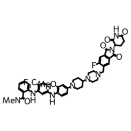 CNC(=O)c1ccccc1Nc1cc(Nc2ccc(N3CCC(N4CCN(Cc5cc6c(cc5F)C(=O)N(C5CCC(=O)NC5=O)C6=O)CC4)CC3)cc2OC)ncc1C(F)(F)F